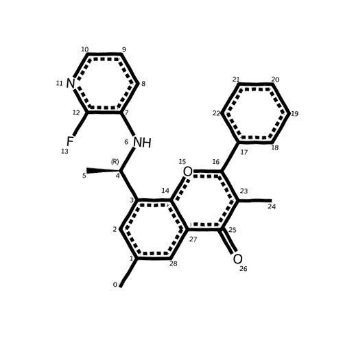 Cc1cc([C@@H](C)Nc2cccnc2F)c2oc(-c3ccccc3)c(C)c(=O)c2c1